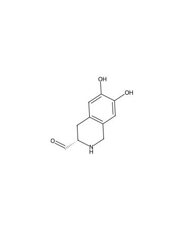 O=[C][C@@H]1Cc2cc(O)c(O)cc2CN1